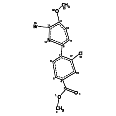 COC(=O)c1ccc(-c2ccc(OC)c(Br)n2)c(Cl)c1